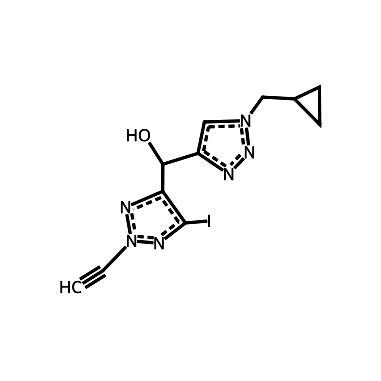 C#Cn1nc(I)c(C(O)c2cn(CC3CC3)nn2)n1